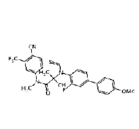 COc1ccc(-c2ccc(N(C=S)C(C)(C)C(=O)N(C)c3ccc(C#N)c(C(F)(F)F)c3)c(F)c2)cc1